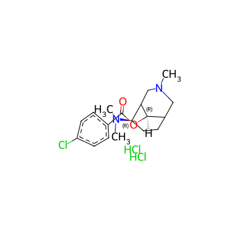 CN1CC2CC[C@@H](N(C)C)C(C1)[C@@H]2OC(=O)c1ccc(Cl)cc1.Cl.Cl